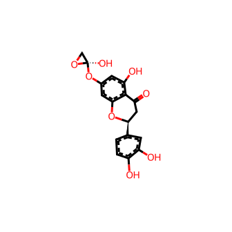 O=C1C[C@@H](c2ccc(O)c(O)c2)Oc2cc(O[C@]3(O)CO3)cc(O)c21